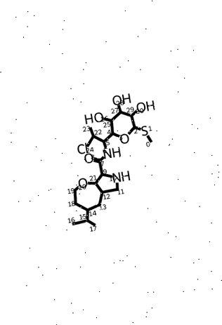 CSC1OC(C(NC(=O)C2NCC3CC(C(C)C)CCOC32)C(C)Cl)C(O)C(O)C1O